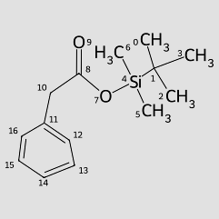 CC(C)(C)[Si](C)(C)OC(=O)Cc1ccccc1